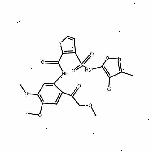 COCC(=O)c1cc(OC)c(OC)cc1NC(=O)c1sccc1S(=O)(=O)Nc1onc(C)c1Cl